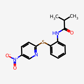 CC(C)C(=O)Nc1ccccc1Sc1ccc([N+](=O)[O-])cn1